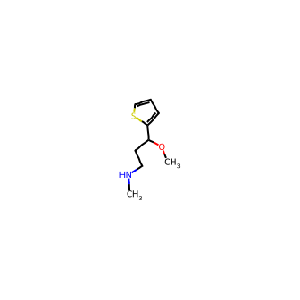 CNCCC(OC)c1cccs1